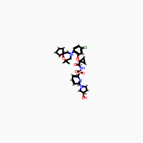 CC1(C)CN(c2ccc(Cl)cc2OC2(C(=O)NS(=O)(=O)c3cccc(N4CCC(O)C4)n3)CC2)CC2(CCCC2)O1